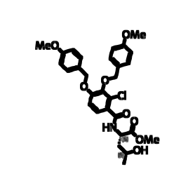 COC(=O)[C@H](C[C@H](C)O)NC(=O)c1ccc(OCc2ccc(OC)cc2)c(OCc2ccc(OC)cc2)c1Cl